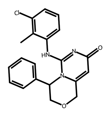 Cc1c(Cl)cccc1Nc1nc(=O)cc2n1C(c1ccccc1)COC2